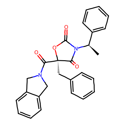 C[C@H](c1ccccc1)N1C(=O)O[C@](Cc2ccccc2)(C(=O)N2Cc3ccccc3C2)C1=O